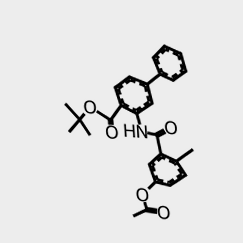 CC(=O)Oc1ccc(C)c(C(=O)Nc2cc(-c3ccccc3)ccc2C(=O)OC(C)(C)C)c1